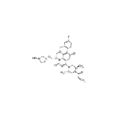 C=CC(=O)N1C[C@H](C)N(c2nc(=O)n3c4c(c(-c5ccc(F)cc5F)c(Cl)cc24)OC[C@H]3CO[C@@H]2CCN(O)C2)C[C@H]1C